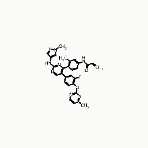 C=CC(=O)Nc1ccc(-c2nc(Nc3cnn(C)c3)ncc2-c2ccc(Oc3nccc(C)n3)c(F)c2)c(C)c1